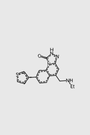 CCNCc1cc2n[nH]c(=O)n2c2cc(-c3ccsc3)ccc12